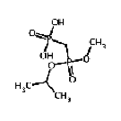 COP(=O)(CP(=O)(O)O)OC(C)C